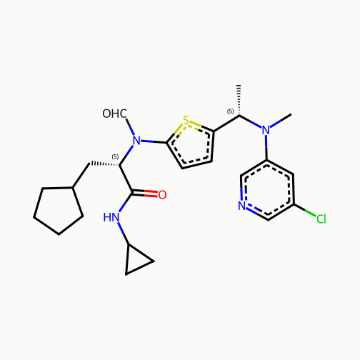 C[C@@H](c1ccc(N(C=O)[C@@H](CC2CCCC2)C(=O)NC2CC2)s1)N(C)c1cncc(Cl)c1